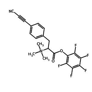 C[N+](C)(C)C(Cc1ccc(C#CC#N)cc1)C(=O)Oc1c(F)c(F)c(F)c(F)c1F